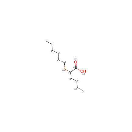 CCCCCCSC(CCCC)C(=O)O